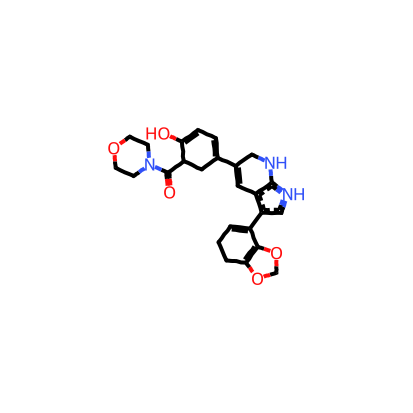 O=C(C1CC(C2=Cc3c(C4=CCCC5=C4OCO5)c[nH]c3NC2)=CC=C1O)N1CCOCC1